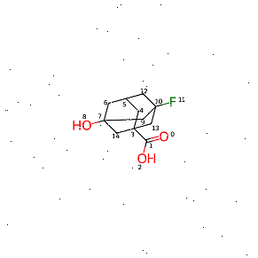 O=C(O)C12CC3CC(O)(CC(F)(C3)C1)C2